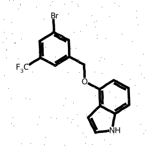 FC(F)(F)c1cc(Br)cc(COc2cccc3[nH]ccc23)c1